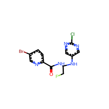 O=C(NC(CF)Nc1cnc(Cl)nc1)c1ccc(Br)cn1